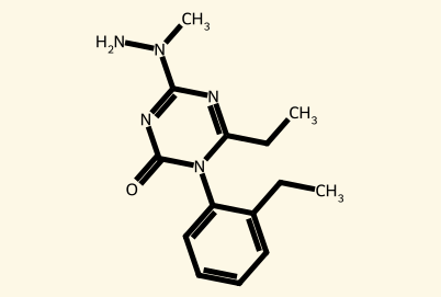 CCc1ccccc1-n1c(CC)nc(N(C)N)nc1=O